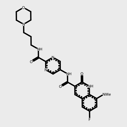 CNc1cc(F)cc2cc(C(=O)Nc3cnc(C(=O)NCCCN4CCOCC4)nc3)c(=O)[nH]c12